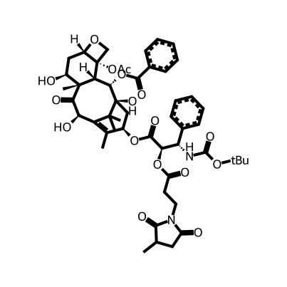 CC(=O)O[C@@]12CO[C@H]1C[C@H](O)[C@@]1(C)C(=O)[C@H](O)C3=C(C)[C@H](OC(=O)[C@H](OC(=O)CCN4C(=O)CC(C)C4=O)[C@@H](NC(=O)OC(C)(C)C)c4ccccc4)C[C@@](O)([C@@H](OC(=O)c4ccccc4)[C@@H]21)C3(C)C